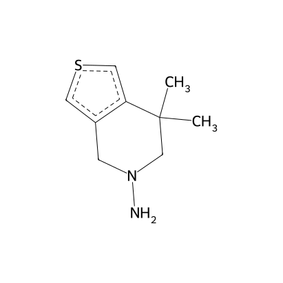 CC1(C)CN(N)Cc2cscc21